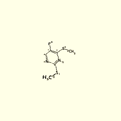 CSc1ncc(F)c(SC)n1